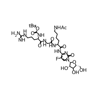 CC(=O)NCCCCC(NC(=O)CNC(=O)C(CCCNC(=N)N)NC(=O)OC(C)(C)C)C(=O)Nc1nc(=O)n([C@@H]2O[C@H](CO)C(O)[C@@H]2O)cc1F